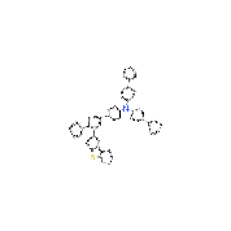 c1ccc(-c2ccc(N(c3ccc(-c4ccccc4)cc3)c3ccc(-c4ccc(-c5ccccc5)c(-c5ccc6sc7ccccc7c6c5)c4)cc3)cc2)cc1